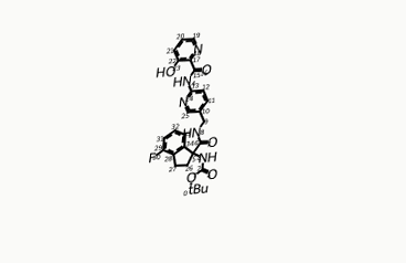 CC(C)(C)OC(=O)NC1(C(=O)NCc2ccc(NC(=O)c3ncccc3O)nc2)CCc2c(F)cccc21